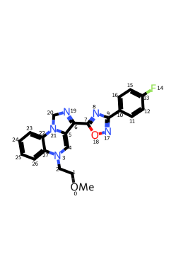 COCCN1C=C2C(c3nc(-c4ccc(F)cc4)no3)=NCN2c2ccccc21